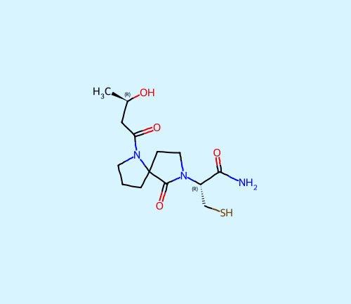 C[C@@H](O)CC(=O)N1CCCC12CCN([C@@H](CS)C(N)=O)C2=O